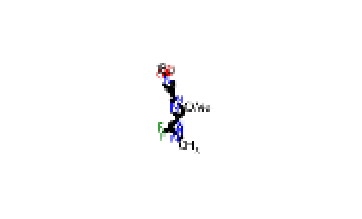 COc1cc(-c2cc(C(F)F)c3nc(C)cn3n2)cn2cc(C3C4CN(C(=O)OC(C)(C)C)CC43)nc12